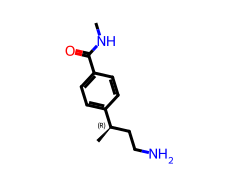 CNC(=O)c1ccc([C@H](C)CCN)cc1